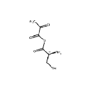 CC(=O)C(=O)OC(=O)[C@@H](N)CS